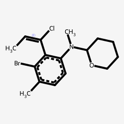 C/C=C(/Cl)c1c(N(C)C2CCCCO2)ccc(C)c1Br